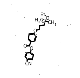 CCO[Si](C)(C)CCCOc1ccc(C(=O)Oc2ccc(C#N)cc2)cc1